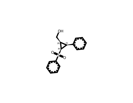 O=S(=O)(c1ccccc1)[C@H]1[C@@H](CO)[C@H]1c1ccccc1